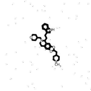 CN1CCC(CC2Oc3cc4c(cc3O2)C(CCc2c[nH]c3ccccc23)N(CC2CCOCC2)CC4)CC1